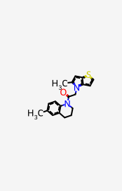 Cc1ccc2c(c1)CCCN2C(=O)Cn1c(C)cc2sccc21